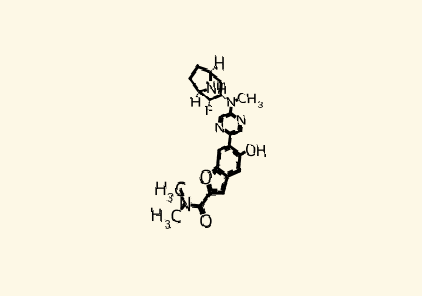 CN(C)C(=O)c1cc2cc(O)c(-c3cnc(N(C)[C@H]4C[C@@H]5CC[C@@H](N5)[C@H]4F)cn3)cc2o1